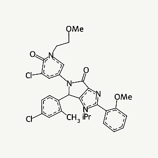 COCCn1cc(N2C(=O)c3nc(-c4ccccc4OC)n(C(C)C)c3C2c2ccc(Cl)cc2C)cc(Cl)c1=O